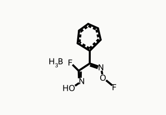 B.ON=C(F)C(=NOF)c1ccccc1